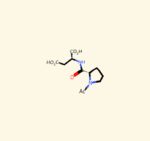 CC(=O)N1CCC[C@H]1C(=O)N[C@@H](CC(=O)O)C(=O)O